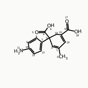 CC1=CC(C(=O)O)(c2ccc(N)cc2)CC(C(=O)O)=C1